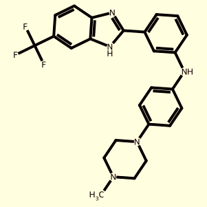 CN1CCN(c2ccc(Nc3cccc(-c4nc5ccc(C(F)(F)F)cc5[nH]4)c3)cc2)CC1